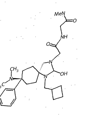 CNC(=O)CNC(=O)CN1C[C@]2(CC[C@](c3ccccc3)(N(C)C)CC2)N(CC2CCC2)C1O